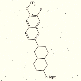 CCCCCCCC1CCC2CC(c3ccc4cc(OC(F)(F)F)c(F)cc4c3)CCC2C1